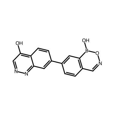 OB1ON=Cc2ccc(-c3ccc4c(O)cnnc4c3)cc21